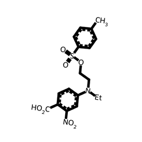 CCN(CCOS(=O)(=O)c1ccc(C)cc1)c1ccc(C(=O)O)c([N+](=O)[O-])c1